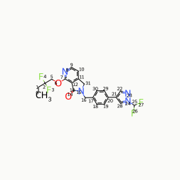 CCC(F)(F)COc1nccc2c1C(=O)N(Cc1ccc(-c3cnn(C(F)F)c3)cc1)C2